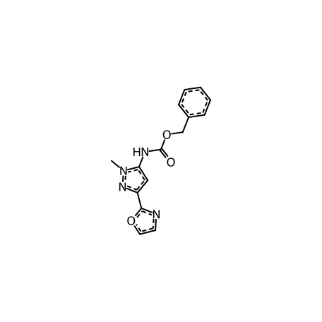 Cn1nc(-c2ncco2)cc1NC(=O)OCc1ccccc1